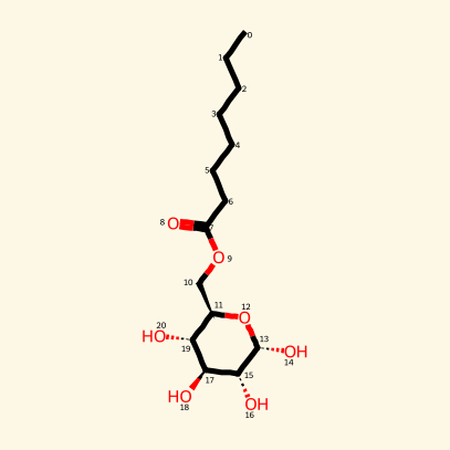 CCCCCCCC(=O)OC[C@H]1O[C@H](O)[C@H](O)[C@@H](O)[C@@H]1O